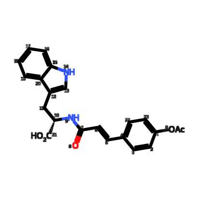 CC(=O)Oc1ccc(/C=C/C(=O)N[C@@H](Cc2c[nH]c3ccccc23)C(=O)O)cc1